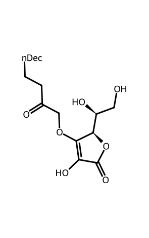 CCCCCCCCCCCCC(=O)COC1=C(O)C(=O)O[C@@H]1[C@@H](O)CO